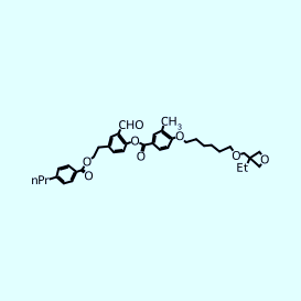 CCCc1ccc(C(=O)OCCc2ccc(OC(=O)c3ccc(OCCCCCCOCC4(CC)COC4)c(C)c3)c(C=O)c2)cc1